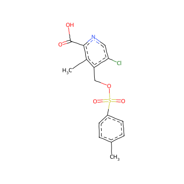 Cc1ccc(S(=O)(=O)OCc2c(Cl)cnc(C(=O)O)c2C)cc1